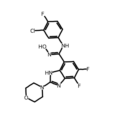 ON=C(Nc1ccc(F)c(Cl)c1)c1cc(F)c(F)c2nc(N3CCOCC3)[nH]c12